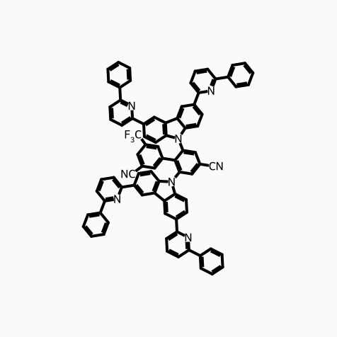 N#Cc1cc(-c2c(-n3c4ccc(-c5cccc(-c6ccccc6)n5)cc4c4cc(-c5cccc(-c6ccccc6)n5)ccc43)cc(C#N)cc2-n2c3ccc(-c4cccc(-c5ccccc5)n4)cc3c3cc(-c4cccc(-c5ccccc5)n4)ccc32)cc(C(F)(F)F)c1